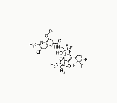 Cc1nc2c(OC3CC3)cc(C(=O)NC[C@](O)(c3cc4c(c(-c5ccc(F)c(F)c5F)n3)OC[C@]4(C)C(N)=O)C(F)(F)F)cc2cc1Cl